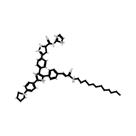 CCCCCCCCCCCCNC(=O)C=Cc1ccc(-c2[nH]c(-c3ccc(N4CCCC4)cc3)nc2-c2ccc(C3=NOC(C(=O)Oc4ncc[nH]4)C3)cc2)cc1